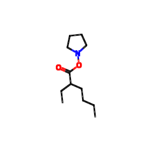 CCCCC(CC)C(=O)ON1CCCC1